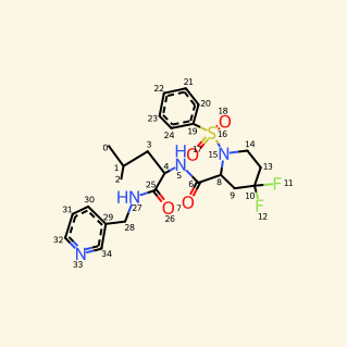 CC(C)CC(NC(=O)C1CC(F)(F)CCN1S(=O)(=O)c1ccccc1)C(=O)NCc1cccnc1